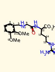 COc1cccc(CNCC(=O)NC(CCCNC(=N)N)C(=O)O)c1OC